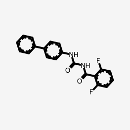 O=C(NC(=O)c1c(F)cccc1F)Nc1ccc(-c2ccccc2)cc1